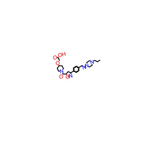 CCCN1CCN(/N=C/c2ccc(C3=NOC(C(=O)N4CCC(OCC(=O)O)CC4)C3)cc2)CC1